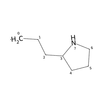 [CH2]CCC1CCCN1